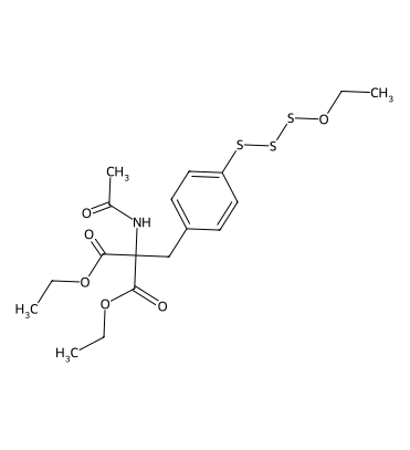 CCOSSSc1ccc(CC(NC(C)=O)(C(=O)OCC)C(=O)OCC)cc1